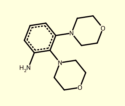 Nc1cccc(N2CCOCC2)c1N1CCOCC1